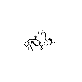 CCSc1ccc(Cl)cc1CNC(=O)c1cc(Br)c(CN2CCCC2)c(C(F)(F)F)c1